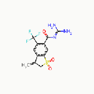 C=C1CS(=O)(=O)c2cc(C(=O)N=C(N)N)c(C(F)(F)F)cc21